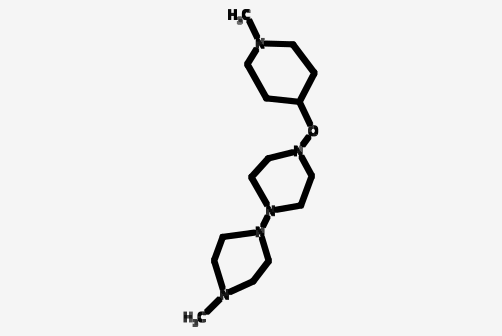 CN1CCC(ON2CCN(N3CCN(C)CC3)CC2)CC1